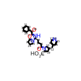 O=C(N[C@@H](CCCC(=O)N1C[C@H](Cc2ccncc2)C[C@H]1C(=O)O)N1CCCC1)C(=O)c1ccccc1